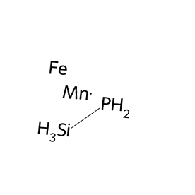 [Fe].[Mn].[SiH3]P